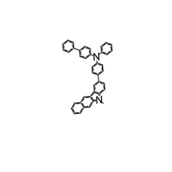 Cn1c2ccc(-c3ccc(N(c4ccccc4)c4ccc(-c5ccccc5)cc4)cc3)cc2c2cc3ccccc3cc21